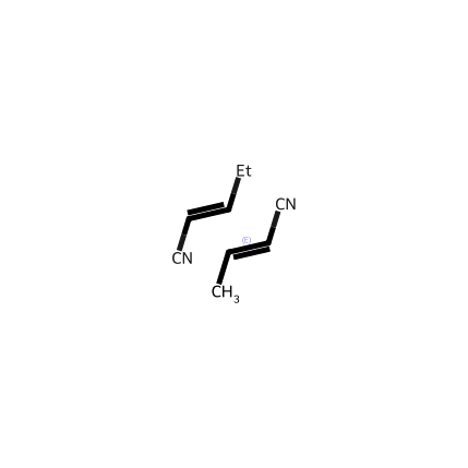 C/C=C/C#N.CCC=CC#N